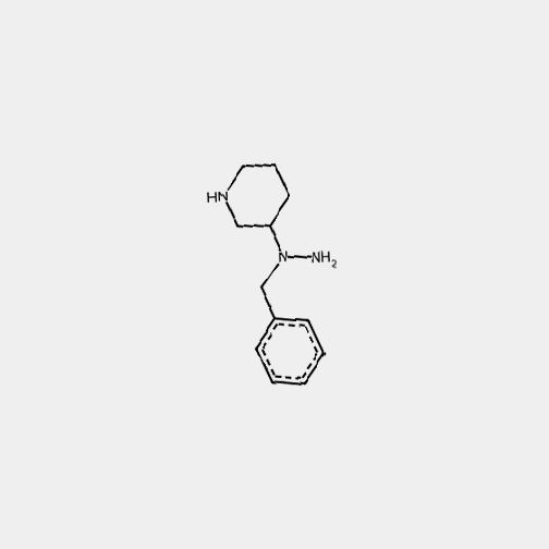 NN(Cc1ccccc1)C1CCCNC1